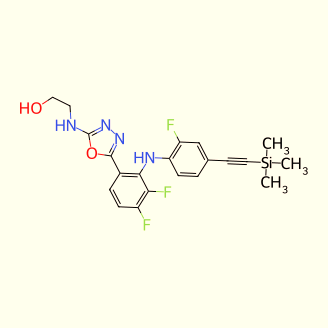 C[Si](C)(C)C#Cc1ccc(Nc2c(-c3nnc(NCCO)o3)ccc(F)c2F)c(F)c1